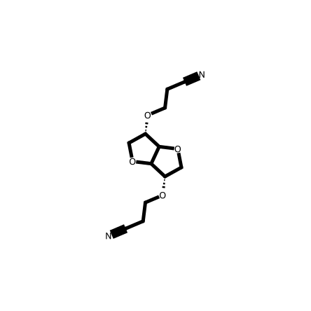 N#CCCO[C@H]1COC2C1OC[C@@H]2OCCC#N